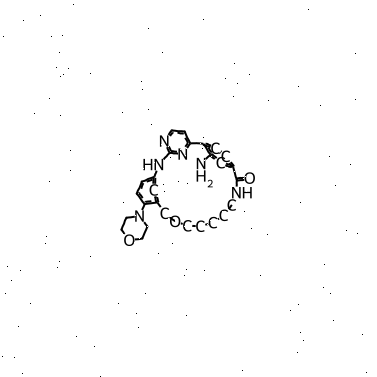 Nc1cc2ccc1-c1ccnc(n1)Nc1ccc(N3CCOCC3)c(c1)COCCCCCNC2=O